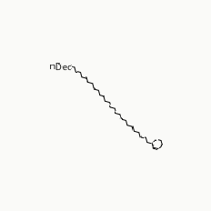 CCCCCCCCCCCCCCCCCCCCCCCCCCCCCCCCCCCCC1CCCCC1